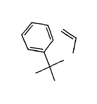 C=CC.CC(C)(C)c1ccccc1